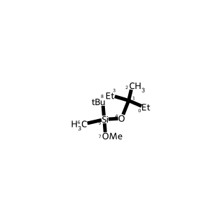 CCC(C)(CC)O[Si](C)(OC)C(C)(C)C